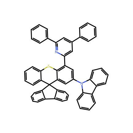 c1ccc(-c2cc(-c3ccccc3)nc(-c3cc(-n4c5ccccc5c5ccccc54)cc4c3Sc3ccccc3C43c4ccccc4-c4ccccc43)c2)cc1